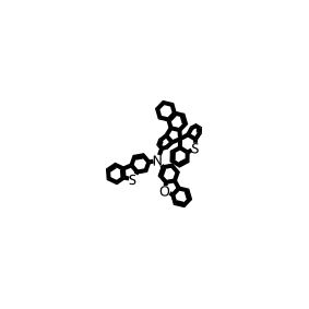 C1=CC2OC3C=C(N(C4C=CC5C6=C(CCC=C6)SC5C4)C4C=CC5C6C7=C(C=CC6C6(C8C=CC=CC8SC8C=CCCC86)C5C4)CCCC7)CCC3C2C=C1